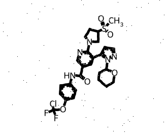 CS(=O)(=O)C1CCN(c2ncc(C(=O)Nc3ccc(OC(F)(F)Cl)cc3)cc2-c2ccnn2C2CCCCO2)C1